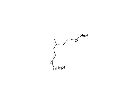 CCCCCCCOCCC(C)CCOCCCCCCC